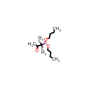 CCCCOP(OCCCC)C(C)(C)C(C)=O